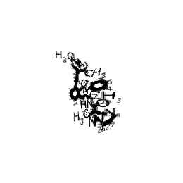 Cc1nn(C)cc1C#Cc1cccc2cc([C@@H](C)NC(=O)c3c(C)nn4cccnc34)n(-c3ccccc3)c(=O)c12